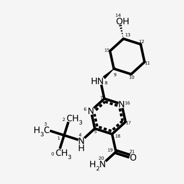 CC(C)(C)Nc1nc(N[C@@H]2CCC[C@@H](O)C2)ncc1C(N)=O